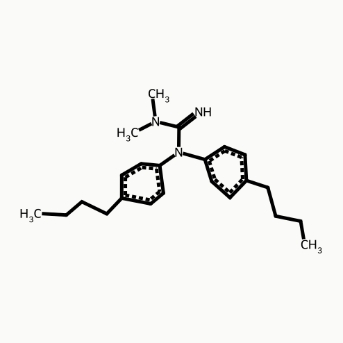 CCCCc1ccc(N(C(=N)N(C)C)c2ccc(CCCC)cc2)cc1